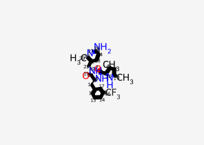 Cc1cc(C)c(C(=O)N[C@@H](Cc2cccc(C(F)(F)F)c2)C(=O)NCc2ccc(N)nc2C)[nH]1